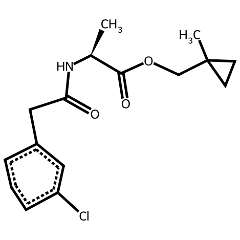 C[C@H](NC(=O)Cc1cccc(Cl)c1)C(=O)OCC1(C)CC1